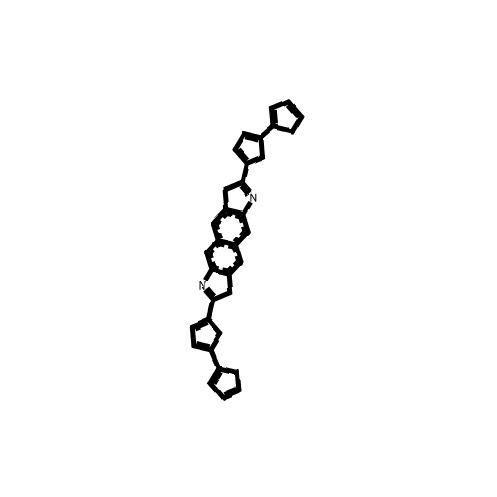 C1=CCC(C2=CC=C(C3=Nc4cc5cc6c(cc5cc4C3)N=C(C3=CC=C(C4=CC=CC4)C3)C6)C2)=C1